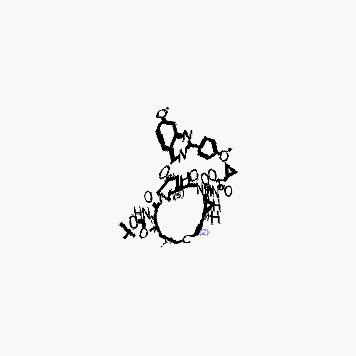 COc1ccc(-c2nc(O[C@@H]3C[C@H]4C(=O)N[C@]5(C(=O)NS(=O)(=O)C6CC6)C[C@H]5/C=C\CC[C@H](C)C[C@@H](C)[C@H](NC(=O)OC(C)(C)C)C(=O)N4C3)c3ccc(OC)cc3n2)cc1